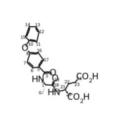 C[C@H](NC(=O)c1ccc(Oc2ccccc2)cc1)C(=O)N[C@@H](CCC(=O)O)C(=O)O